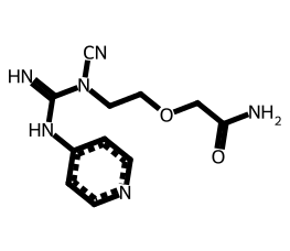 N#CN(CCOCC(N)=O)C(=N)Nc1ccncc1